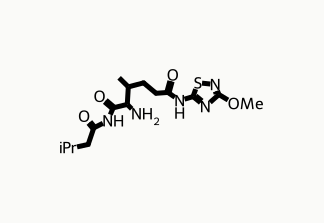 COc1nsc(NC(=O)CCC(C)C(N)C(=O)NC(=O)CC(C)C)n1